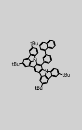 CC(C)(C)c1ccc2c(c1)c1cc(C(C)(C)C)cc3c4cc5c6cc(C(C)(C)C)cc7c8cc(C(C)(C)C)ccc8n(c5c(-c5cccc(-c8cccc9ccccc89)c5)c4n2c13)c76